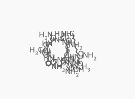 CCCCCCCCCC(=O)N[C@@H](CCN)C(=O)N[C@H](C(=O)N[C@@H](CCN)C(=O)N[C@H]1CSSC[C@H](C(N)=O)NC(=O)[C@H](CCN)NC(=O)C(CCN)NC(=O)[C@H](CC(C)C)NC(=O)[C@@H](Cc2ccccc2)NC(=O)[C@H](CCN)NC1=O)C(C)O